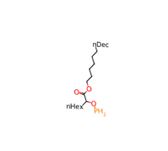 CCCCCCCCCCCCCCCCOC(=O)C(CCCCCC)OP